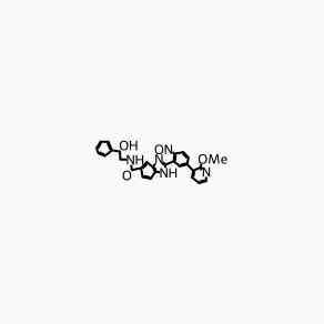 COc1ncccc1-c1ccc(N=O)c(-c2nc3cc(C(=O)NCC(O)c4ccccc4)ccc3[nH]2)c1